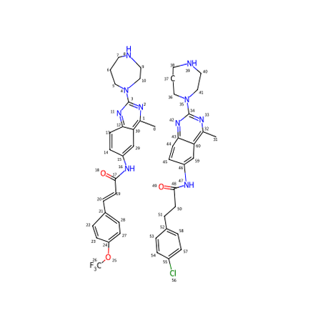 Cc1nc(N2CCCNCC2)nc2ccc(NC(=O)C=Cc3ccc(OC(F)(F)F)cc3)cc12.Cc1nc(N2CCCNCC2)nc2ccc(NC(=O)CCc3ccc(Cl)cc3)cc12